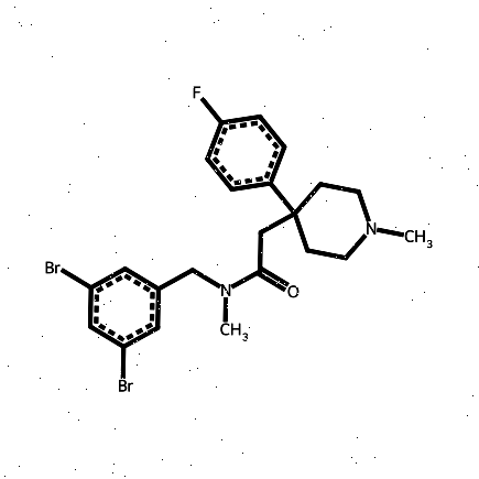 CN1CCC(CC(=O)N(C)Cc2cc(Br)cc(Br)c2)(c2ccc(F)cc2)CC1